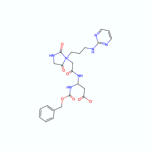 O=C([O-])CC(NC(=O)C[N+]1(CCCNc2ncccn2)C(=O)CNC1=O)NC(=O)OCc1ccccc1